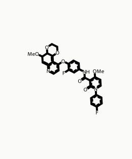 COc1ccn(-c2ccc(F)cc2)c(=O)c1C(=O)Nc1ccc(Oc2ccnc3c2=C2OCCOC2C(OC)C=3)c(F)c1